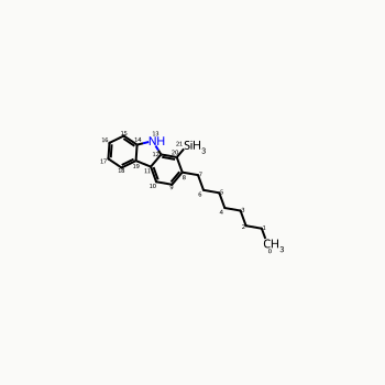 CCCCCCCCc1ccc2c([nH]c3ccccc32)c1[SiH3]